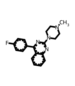 CN1CCN(c2nc(-c3ccc(F)cc3)c3ccccc3n2)CC1